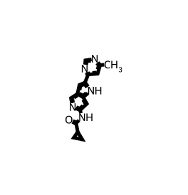 Cc1cc(-c2cc3cnc(NC(=O)C4CC4)cc3[nH]2)ncn1